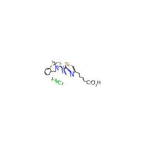 Cl.O=C(O)CCCCc1csc(N=C2SC[C@@H]3Cc4ccccc4CN23)n1